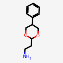 NCCC1OCC(c2ccccc2)CO1